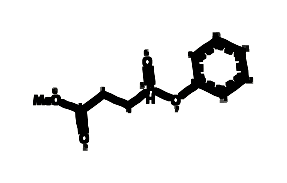 COC(=O)CC[PH](=O)Oc1ccccc1